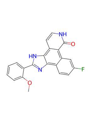 COc1ccccc1-c1nc2c3ccc(F)cc3c3c(=O)[nH]ccc3c2[nH]1